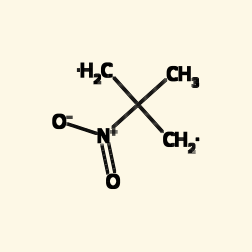 [CH2]C([CH2])(C)[N+](=O)[O-]